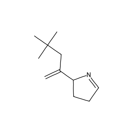 C=C(CC(C)(C)C)C1CCC=N1